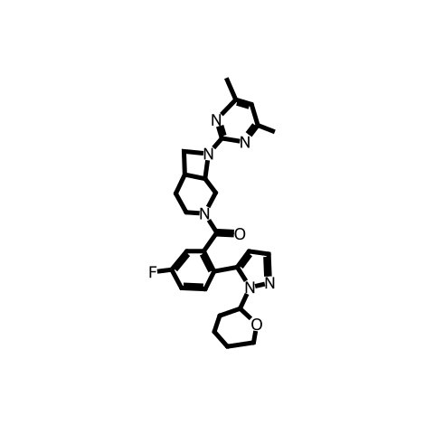 Cc1cc(C)nc(N2CC3CCN(C(=O)c4cc(F)ccc4-c4ccnn4C4CCCCO4)CC32)n1